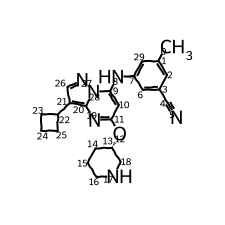 Cc1cc(C#N)cc(Nc2cc(O[C@H]3CCCNC3)nc3c(C4CCC4)cnn23)c1